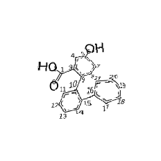 O=C(O)c1cc(O)ccc1-c1ccccc1-c1ccccc1